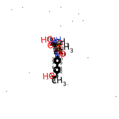 C[C@@H](O)Cc1ccc(-c2ccc(N3C[C@H](C[C@](C)(C(=O)NO)S(C)(=O)=O)OC3=O)cc2)cc1